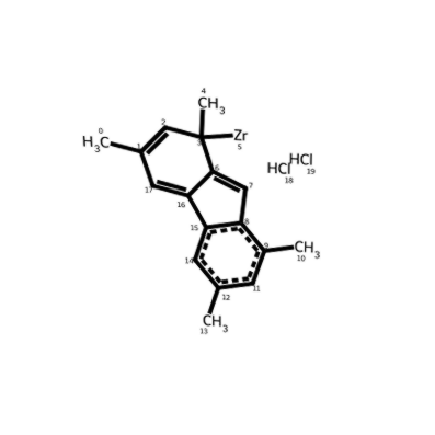 CC1=C[C](C)([Zr])C2=Cc3c(C)cc(C)cc3C2=C1.Cl.Cl